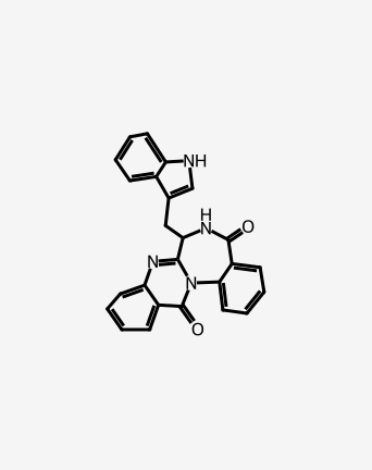 O=C1NC(Cc2c[nH]c3ccccc23)c2nc3ccccc3c(=O)n2-c2ccccc21